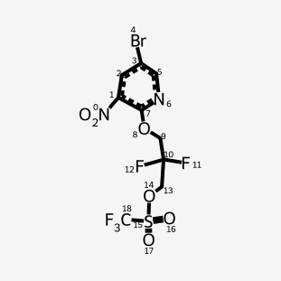 O=[N+]([O-])c1cc(Br)cnc1OCC(F)(F)COS(=O)(=O)C(F)(F)F